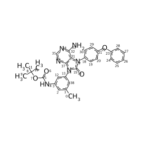 Cc1cc(NC(=O)OC(C)(C)C)cc(-n2c(=O)n(-c3ccc(Oc4ccccc4)cc3)c3c(N)ncnc32)c1